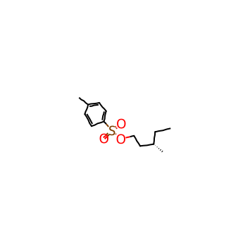 CC[C@H](C)CCOS(=O)(=O)c1ccc(C)cc1